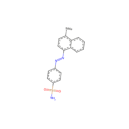 CNc1ccc(/N=N/c2ccc(S(N)(=O)=O)cc2)c2ccccc12